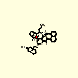 C#Cc1cccc2cccc(-c3nc4c5c(nc(OCC67CCCN6CC(=C)C7)nc5c3F)N3CC5CCC(C3C(CCC)O4)N5C(=O)O)c12